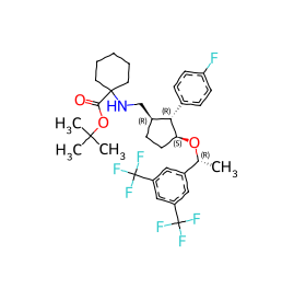 C[C@@H](O[C@H]1CC[C@@H](CNC2(C(=O)OC(C)(C)C)CCCCC2)[C@@H]1c1ccc(F)cc1)c1cc(C(F)(F)F)cc(C(F)(F)F)c1